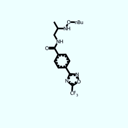 CCCCONC(C)CNC(=O)c1ccc(-c2noc(C(F)(F)F)n2)cc1